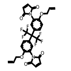 C=CCOc1ccc(C(c2ccc(OCC=C)c(N3C(=O)C=CC3=O)c2)(C(F)(F)F)C(F)(F)F)cc1N1C(=O)C=CC1=O